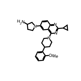 COc1ccccc1C1CCN(c2nc(C3CC3)nc3ccc(N4CCC(N)C4)cc23)CC1